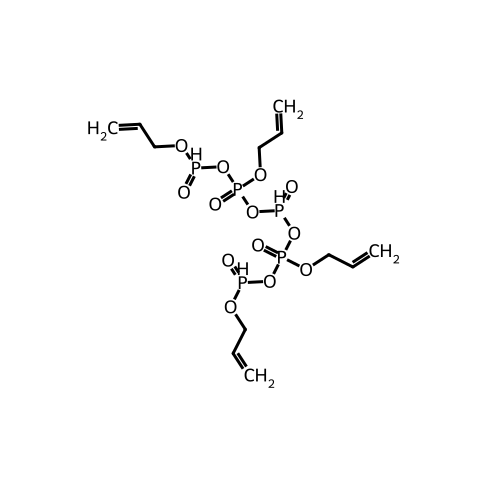 C=CCO[PH](=O)OP(=O)(OCC=C)O[PH](=O)OP(=O)(OCC=C)O[PH](=O)OCC=C